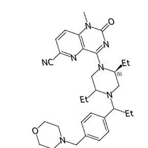 CCC1CN(c2nc(=O)n(C)c3ccc(C#N)nc23)[C@@H](CC)CN1C(CC)c1ccc(CN2CCOCC2)cc1